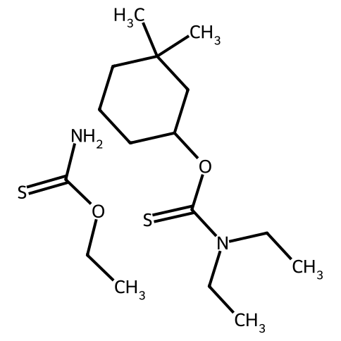 CCN(CC)C(=S)OC1CCCC(C)(C)C1.CCOC(N)=S